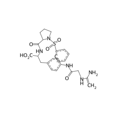 C=C(N)NCC(=O)Nc1ccc(CC(NC(=O)C2CCCN2S(=O)(=O)c2ccccc2)C(=O)O)cc1